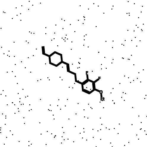 C=CC1CCC(C=CCCc2ccc(OCC)c(F)c2F)CC1